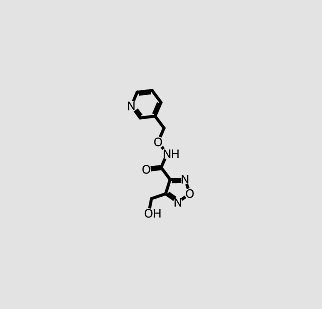 O=C(NOCc1cccnc1)c1nonc1CO